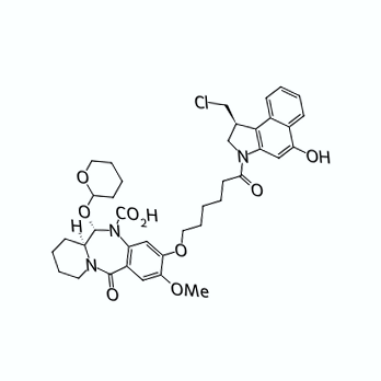 COc1cc2c(cc1OCCCCCC(=O)N1C[C@@H](CCl)c3c1cc(O)c1ccccc31)N(C(=O)O)[C@@H](OC1CCCCO1)[C@@H]1CCCCN1C2=O